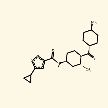 C[C@@H]1C[C@@H](NC(=O)c2cc(C3CC3)on2)CCN1C(=O)[C@H]1CC[C@H](N)CC1